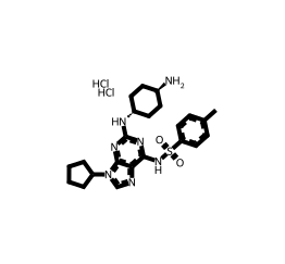 Cc1ccc(S(=O)(=O)Nc2nc(N[C@H]3CC[C@H](N)CC3)nc3c2ncn3C2CCCC2)cc1.Cl.Cl